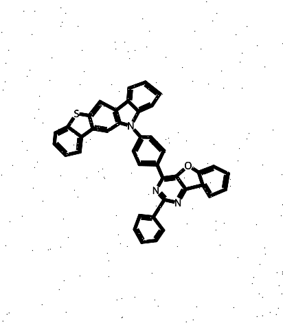 c1ccc(-c2nc(-c3ccc(-n4c5ccccc5c5cc6sc7ccccc7c6cc54)cc3)c3oc4ccccc4c3n2)cc1